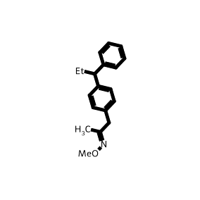 CCC(c1ccccc1)c1ccc(C/C(C)=N/OC)cc1